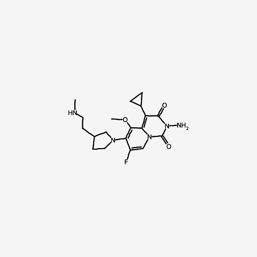 CNCCC1CCN(c2c(F)cn3c(=O)n(N)c(=O)c(C4CC4)c3c2OC)C1